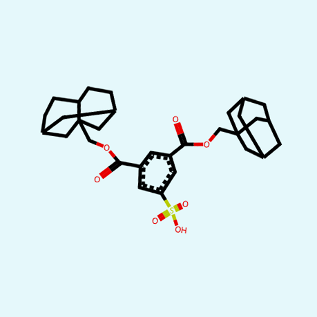 O=C(OCC12CC3CC(CC(C3)C1)C2)c1cc(C(=O)OCC23CC4CCC2CCC(C4)C3)cc(S(=O)(=O)O)c1